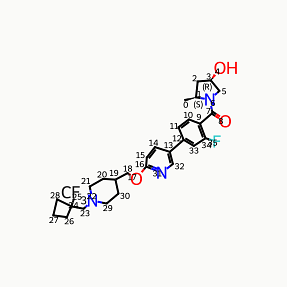 C[C@H]1C[C@@H](O)CN1C(=O)c1ccc(-c2ccc(OCC3CCN(CC4(C(F)(F)F)CCC4)CC3)nc2)cc1F